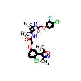 Cc1noc(C)c1-c1cc(OCC(=O)NC2(C)CC(C)(NC(=O)COc3ccc(Cl)c(F)c3)C2)ccc1Cl